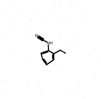 CCc1ccccc1NC#N